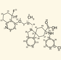 C[C@@H](COc1ccnc2c1C(F)(F)CCC2)C[C@H]1Cc2ccccc2C12CCC(Nc1cccc(Cl)c1)(C(=O)O)CC2